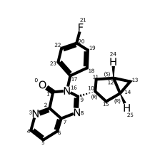 O=c1c2ncccc2nc([C@@H]2C[C@@H]3C[C@@H]3C2)n1-c1ccc(F)cc1